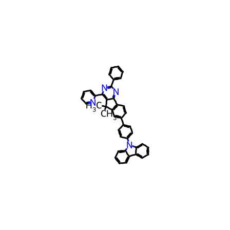 CC1(C)c2cc(-c3ccc(-n4c5ccccc5c5ccccc54)cc3)ccc2-c2nc(-c3ccccc3)nc(-c3ccccn3)c21